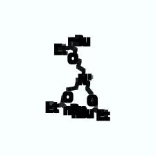 CCCCC(CC)COCCC[N+](CCCOCC(CC)CCCC)CCCOCC(CC)CCCC